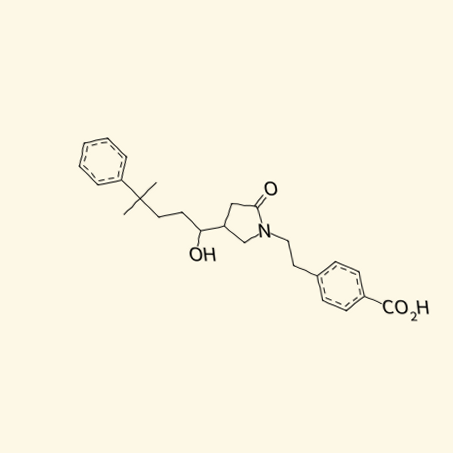 CC(C)(CCC(O)C1CC(=O)N(CCc2ccc(C(=O)O)cc2)C1)c1ccccc1